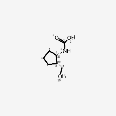 O=C(O)N[C@H]1CCC[C@H]1CO